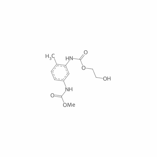 COC(=O)Nc1ccc(C)c(NC(=O)OCCO)c1